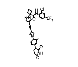 CC1C=C(C2CCC(=O)NC2=O)C=CC1N1CC(C#Cc2cnn(C3(C(=O)Nc4ccc(C(F)(F)F)cc4Cl)CCC3)c2)C1